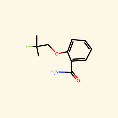 CC(C)(F)COc1ccccc1C(N)=O